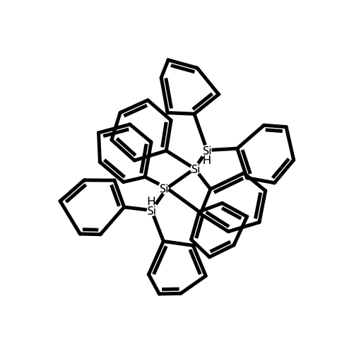 c1ccc([SiH](c2ccccc2)[Si](c2ccccc2)(c2ccccc2)[Si](c2ccccc2)(c2ccccc2)[SiH](c2ccccc2)c2ccccc2)cc1